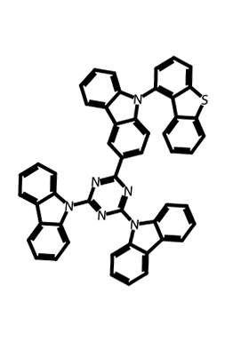 c1ccc2c(c1)sc1cccc(-n3c4ccccc4c4cc(-c5nc(-n6c7ccccc7c7ccccc76)nc(-n6c7ccccc7c7ccccc76)n5)ccc43)c12